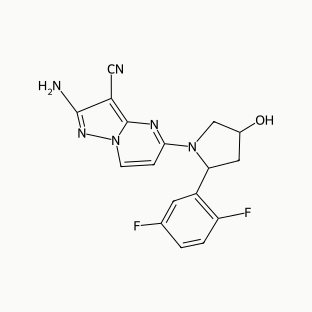 N#Cc1c(N)nn2ccc(N3CC(O)CC3c3cc(F)ccc3F)nc12